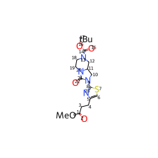 COC(=O)CCc1csc(N2CC3CN(C(=O)OC(C)(C)C)CCN3C2=O)n1